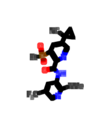 CCS(=O)(=O)c1cc(C2(C#N)CC2)cnc1C(=O)Nc1cc(C(F)(F)F)cnc1NC